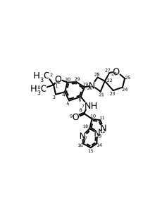 CC1(C)Cc2cc(NC(=O)c3cnn4cccnc34)c(N3CC4(CCCOC4)C3)cc2O1